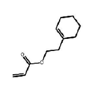 C=CC(=O)OCCC1=CCCCC1